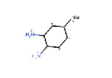 CCCCC1CCC(N)C(N)C1